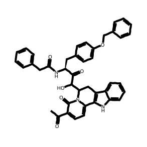 CC(=O)c1ccc2n(c1=O)C(C(O)C(=O)[C@H](Cc1ccc(OCc3ccccc3)cc1)NC(=O)Cc1ccccc1)Cc1c-2[nH]c2ccccc12